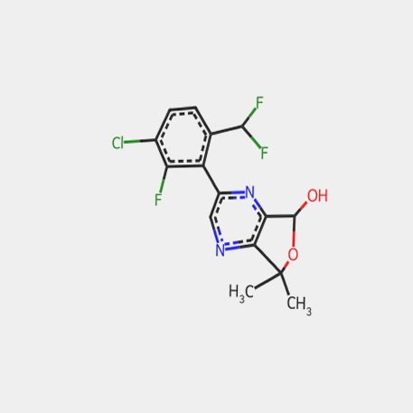 CC1(C)OC(O)c2nc(-c3c(C(F)F)ccc(Cl)c3F)cnc21